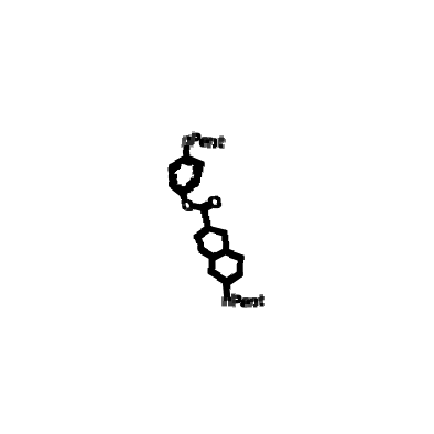 CCCCCc1ccc(OC(=O)C2CCC3CC(CCCCC)CCC3C2)cc1